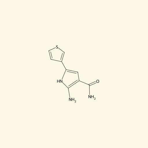 NC(=O)c1cc(-c2ccsc2)[nH]c1N